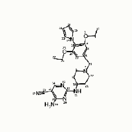 CCOc1cc(CN2CCC(Nc3ncc(C#N)c(N)n3)CC2)cc(OCC)c1-n1cccc1